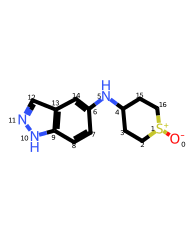 [O-][S+]1CCC(Nc2ccc3[nH]ncc3c2)CC1